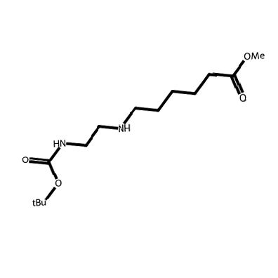 COC(=O)CCCCCNCCNC(=O)OC(C)(C)C